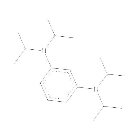 CC(C)N(c1[c]ccc(N(C(C)C)C(C)C)c1)C(C)C